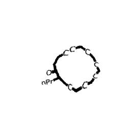 CCCC1CCCCCCCCCCCCCCCC1=O